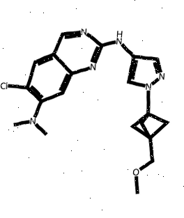 COCC12CC(n3cc(Nc4ncc5cc(Cl)c(N(C)C)cc5n4)cn3)(C1)C2